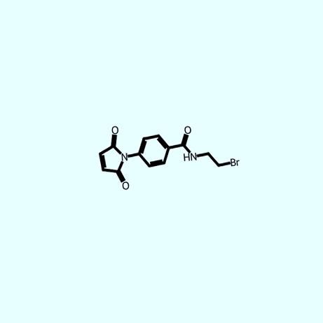 O=C(NCCBr)c1ccc(N2C(=O)C=CC2=O)cc1